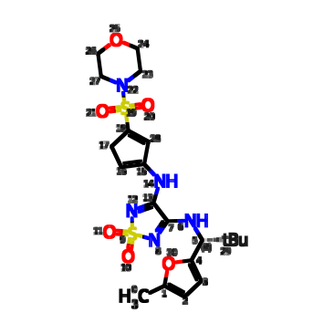 Cc1ccc([C@H](NC2=NS(=O)(=O)N=C2NC2=CCC(S(=O)(=O)N3CCOCC3)=C2)C(C)(C)C)o1